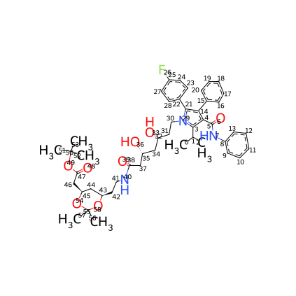 CC(C)c1c(C(=O)Nc2ccccc2)c(-c2ccccc2)c(-c2ccc(F)cc2)n1CC[C@@H](O)C[C@@H](O)CC(=O)NCC[C@@H]1C[C@H](CC(=O)OC(C)(C)C)OC(C)(C)O1